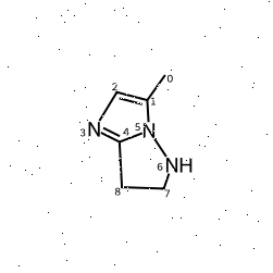 Cc1cnc2n1NCC2